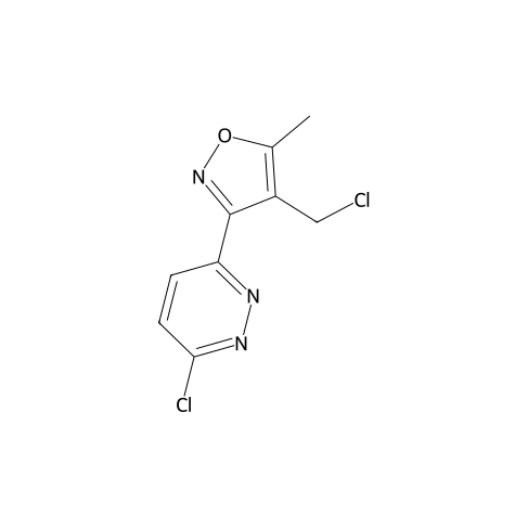 Cc1onc(-c2ccc(Cl)nn2)c1CCl